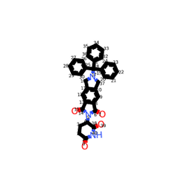 O=C1CCC(N2C(=O)c3cc4c(cc3C2=O)CN(C(c2ccccc2)(c2ccccc2)c2ccccc2)C4)C(=O)N1